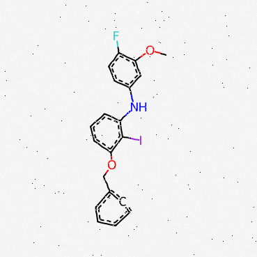 COc1cc(Nc2cccc(OCc3ccccc3)c2I)ccc1F